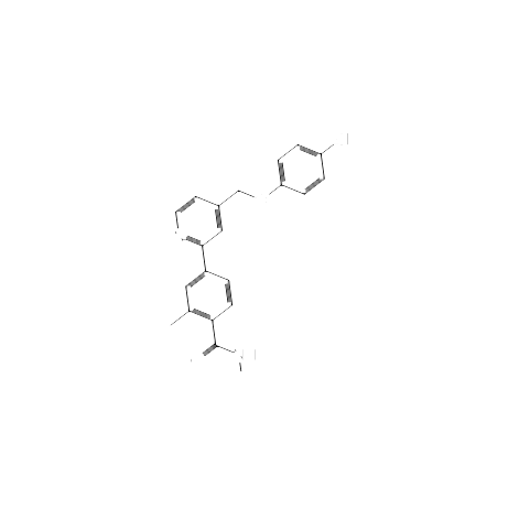 Cc1cc(-c2cc(COc3ccc(Cl)cc3)ccn2)ccc1C(=O)NI